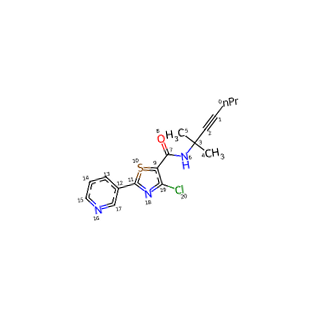 CCCC#CC(C)(C)NC(=O)c1sc(-c2cccnc2)nc1Cl